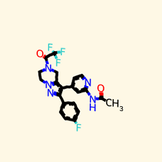 CC(=O)Nc1cc(-c2c(-c3ccc(F)cc3)nn3c2CN(C(=O)C(F)(F)F)CC3)ccn1